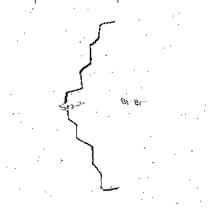 CCCCCCC[CH2][Sn+2][CH2]CCCCCCC.[Br-].[Br-]